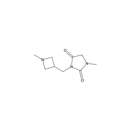 CN1CC(CN2C(=O)CN(C)C2=O)C1